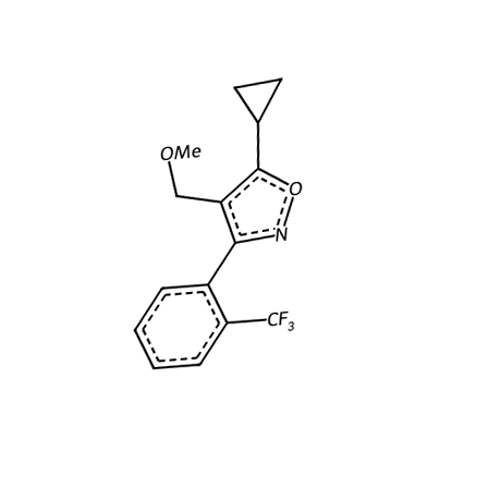 COCc1c(-c2ccccc2C(F)(F)F)noc1C1CC1